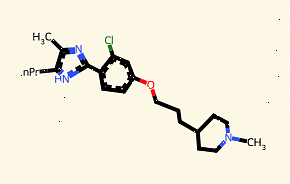 CCCc1[nH]c(-c2ccc(OCCCC3CCN(C)CC3)cc2Cl)nc1C